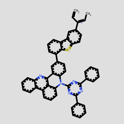 C=C/C(=C\C)c1ccc2sc3c(-c4ccc5c(c4)-c4nc6ccccc6c6cccc(c46)N5c4nc(-c5ccccc5)nc(-c5ccccc5)n4)cccc3c2c1